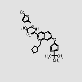 CC(C)(C)c1ccc(Oc2ccc3cc(C(=O)N[C@@H](Cc4ccc(Br)s4)C(=O)O)nc(CC4CCCC4)c3c2)cc1